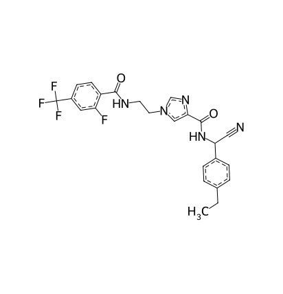 CCc1ccc(C(C#N)NC(=O)c2cn(CCNC(=O)c3ccc(C(F)(F)F)cc3F)cn2)cc1